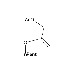 C=C(COC(C)=O)OCCCCC